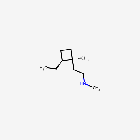 CC[C@H]1CC[C@@]1(C)CCNC